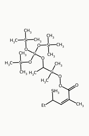 CCC([SiH3])C=C(C)C(=O)OO[Si](C)(C)C(C)O[Si](O[Si](C)(C)C)(O[Si](C)(C)C)O[Si](C)(C)C